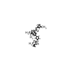 Cc1cc(CC(=O)Nc2cc([C@H]3CC[C@@H](OC(=O)NC4(C)CC4)C3)nn2C(C)(C)C)on1